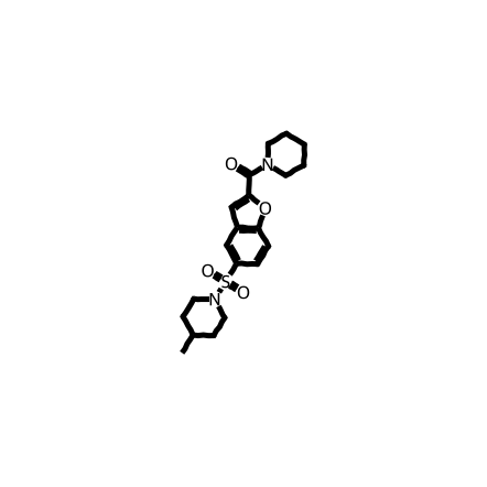 CC1CCN(S(=O)(=O)c2ccc3oc(C(=O)N4CCCCC4)cc3c2)CC1